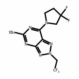 CC(C)(C)c1nc(N2CCC(F)(F)C2)c2nn(CC(F)(F)F)nc2n1